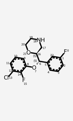 Fc1cccc([C@H](Oc2cccc(Cl)c2F)[C@@H]2CNCCO2)c1